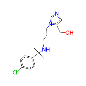 CC(C)(NCCCn1cncc1CO)c1ccc(Cl)cc1